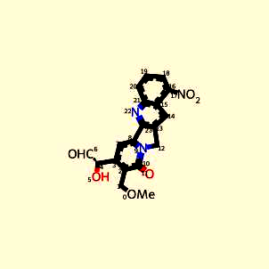 COCc1c([C@H](O)C=O)cc2n(c1=O)Cc1cc3c([N+](=O)[O-])cccc3nc1-2